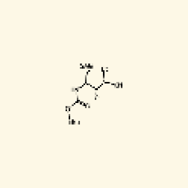 CCCCOC(=O)NC(CSC)C(=O)N(C#N)CC